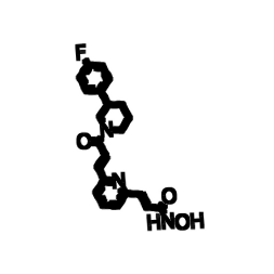 O=C(/C=C/c1cccc(/C=C/C(=O)N2CCCC(c3ccc(F)cc3)C2)n1)NO